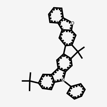 CC(C)(C)c1ccc2c(c1)c1cc3c(cc1n2-c1ccccc1)C(C)(C)c1cc2oc4ccccc4c2cc1-3